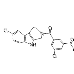 O=C(O)c1cc(Cl)cc(C(=O)N2CCc3c([nH]c4ccc(Cl)cc34)C2)c1